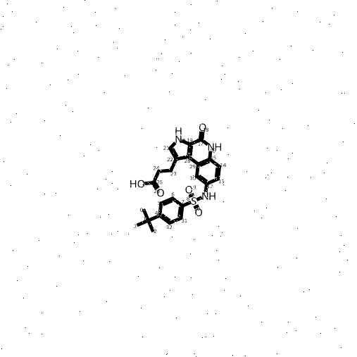 CC(C)(C)c1ccc(S(=O)(=O)Nc2ccc3[nH]c(=O)c4[nH]cc(CCC(=O)O)c4c3c2)cc1